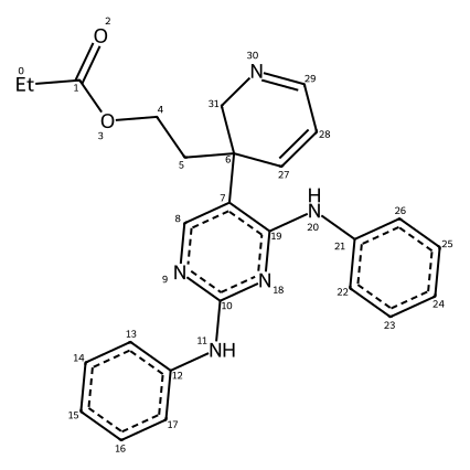 CCC(=O)OCCC1(c2cnc(Nc3ccccc3)nc2Nc2ccccc2)C=CC=NC1